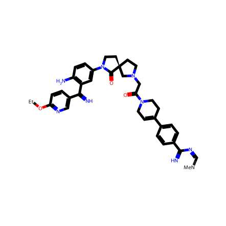 CCOc1ccc(C(=N)c2cc(N3CC[C@]4(CCN(CC(=O)N5CC=C(c6ccc(C(=N)/N=C\NC)cc6)CC5)C4)C3=O)ccc2N)cn1